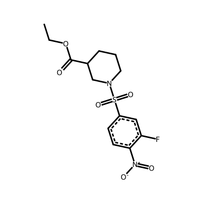 CCOC(=O)C1CCCN(S(=O)(=O)c2ccc([N+](=O)[O-])c(F)c2)C1